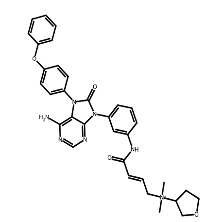 C[N+](C)(C/C=C/C(=O)Nc1cccc(-n2c(=O)n(-c3ccc(Oc4ccccc4)cc3)c3c(N)ncnc32)c1)C1CCOC1